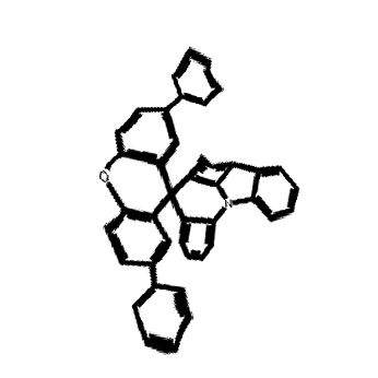 c1ccc(-c2ccc3c(c2)C2(c4cc(-c5ccccc5)ccc4O3)c3ccccc3-n3c4ccccc4c4cccc2c43)cc1